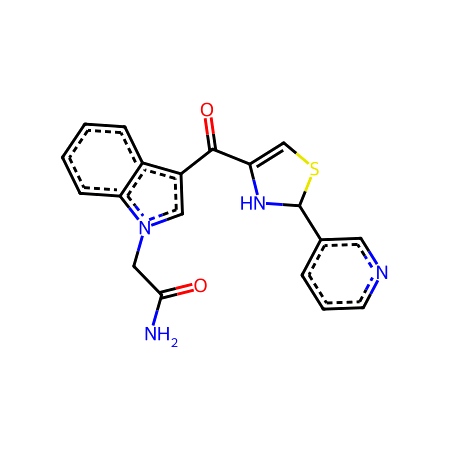 NC(=O)Cn1cc(C(=O)C2=CSC(c3cccnc3)N2)c2ccccc21